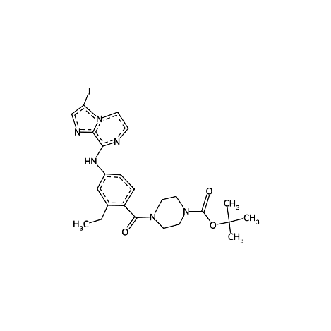 CCc1cc(Nc2nccn3c(I)cnc23)ccc1C(=O)N1CCN(C(=O)OC(C)(C)C)CC1